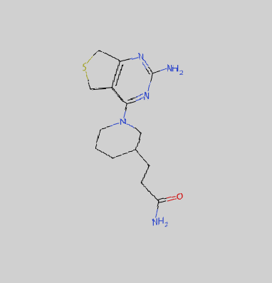 NC(=O)CCC1CCCN(c2nc(N)nc3c2CSC3)C1